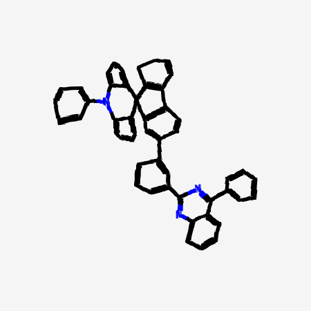 C1=CC2=C(CC1)C1(c3cc(-c4cccc(-c5nc(-c6ccccc6)c6ccccc6n5)c4)ccc32)c2ccccc2N(c2ccccc2)c2ccccc21